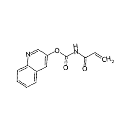 C=CC(=O)NC(=O)Oc1cnc2ccccc2c1